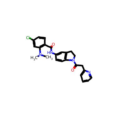 CN(C)c1cc(Cl)ccc1C(=O)Nc1ccc2c(c1)CCN2C(=O)Cc1ccccn1